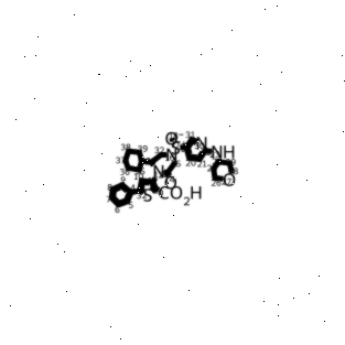 O=C(O)c1sc(-c2ccccc2)cc1N1C(=O)CN([S+]([O-])c2ccc(NC3CCOCC3)nc2)CC1C1CCCCC1